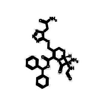 NC(=O)Cn1nnnc1SCC1=C(C(=O)OC(c2ccccc2)c2ccccc2)N2C(=O)[C@](N)(NC=O)[C@@H]2SC1